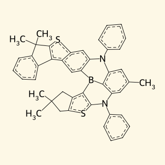 Cc1cc2c3c(c1)N(c1ccccc1)c1sc4c(c1B3c1cc3c5c(sc3cc1N2c1ccccc1)C(C)(C)c1ccccc1-5)CC(C)(C)C4